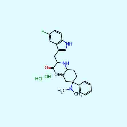 COC(=O)C(Cc1c[nH]c2ccc(F)cc12)NC1CCC(c2ccccc2)(N(C)C)CC1.Cl.Cl